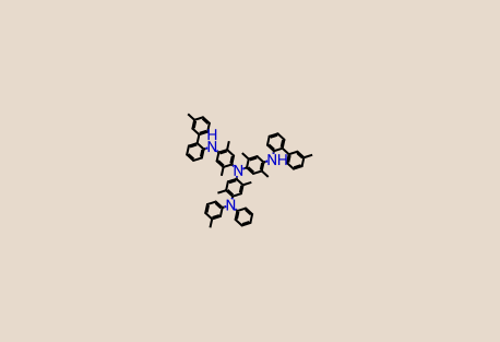 Cc1cccc(-c2ccccc2Nc2cc(C)c(N(c3cc(C)c(Nc4ccccc4-c4cccc(C)c4)cc3C)c3cc(C)c(N(c4ccccc4)c4cccc(C)c4)cc3C)cc2C)c1